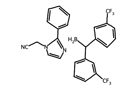 BC(c1cccc(C(F)(F)F)c1)c1cccc(C(F)(F)F)c1.N#CCn1ccnc1-c1ccccc1